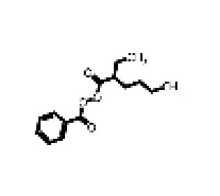 CCCCC(CC)C(=O)OOC(=O)c1ccccc1